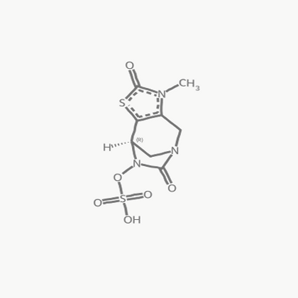 Cn1c2c(sc1=O)[C@H]1CN(C2)C(=O)N1OS(=O)(=O)O